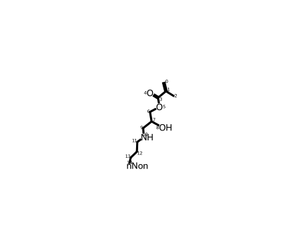 C=C(C)C(=O)OCC(O)CNCCCCCCCCCCCC